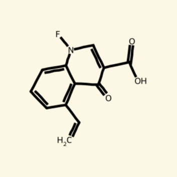 C=Cc1cccc2c1c(=O)c(C(=O)O)cn2F